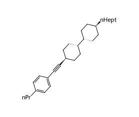 CCCCCCC[C@H]1CC[C@H]([C@H]2CC[C@H](C#Cc3ccc(CCC)cc3)CC2)CC1